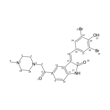 CN1CCN(CC(=O)c2ccc3c(c2)C(=Cc2cc(Br)c(O)c(Br)c2)C(=O)N3)CC1